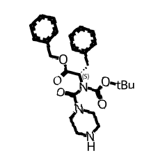 CC(C)(C)OC(=O)N(C(=O)N1CCNCC1)[C@@H](Cc1ccccc1)C(=O)OCc1ccccc1